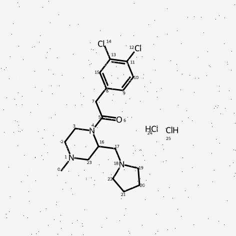 CN1CCN(C(=O)Cc2ccc(Cl)c(Cl)c2)C(CN2CCCC2)C1.Cl.Cl